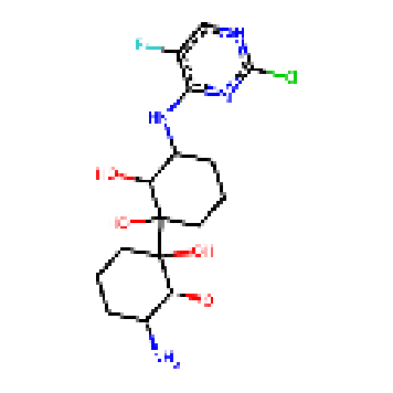 N[C@H]1CCC[C@](O)(C2(O)CCCC(Nc3nc(Cl)ncc3F)C2O)[C@H]1O